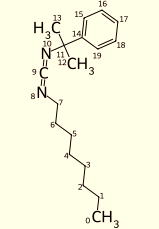 CCCCCCCCN=C=NC(C)(C)c1ccccc1